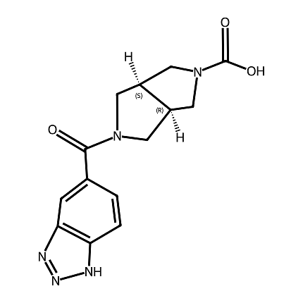 O=C(O)N1C[C@@H]2CN(C(=O)c3ccc4[nH]nnc4c3)C[C@@H]2C1